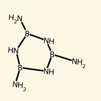 NB1NB(N)NB(N)N1